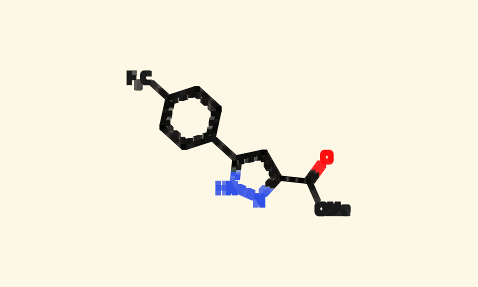 COC(=O)c1cc(-c2ccc(C(F)(F)F)cc2)[nH]n1